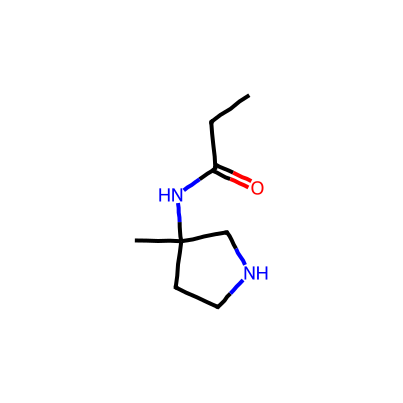 CCC(=O)NC1(C)CCNC1